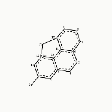 Cc1cc2ccc3cccc4c3c2[n+](c1)C4